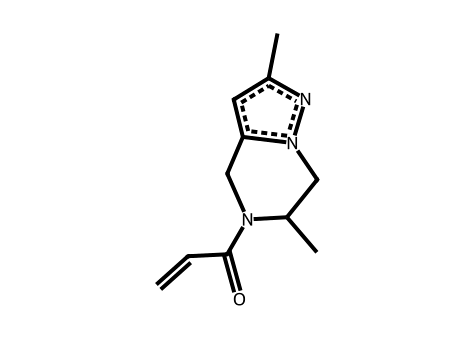 C=CC(=O)N1Cc2cc(C)nn2CC1C